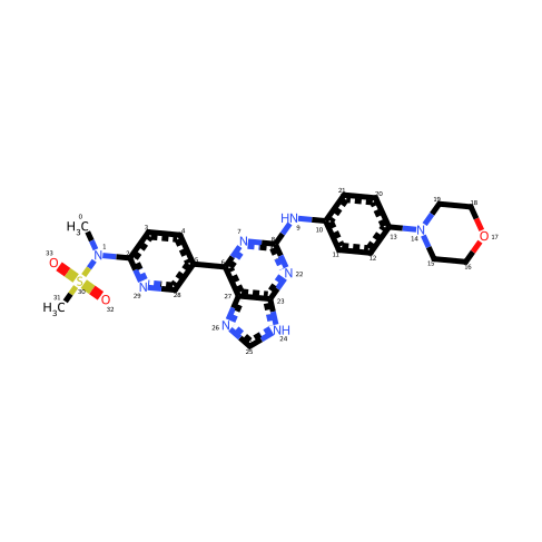 CN(c1ccc(-c2nc(Nc3ccc(N4CCOCC4)cc3)nc3[nH]cnc23)cn1)S(C)(=O)=O